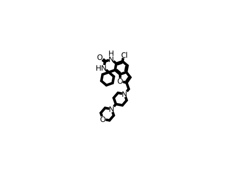 O=C1Nc2c(Cl)cc3cc(CN4CCC(N5CCOCC5)CC4)oc3c2C2(CCCCC2)N1